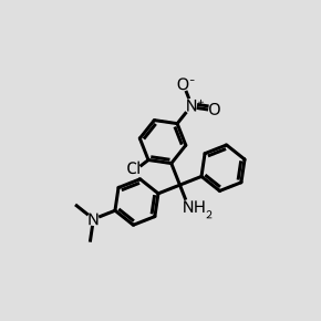 CN(C)c1ccc(C(N)(c2ccccc2)c2cc([N+](=O)[O-])ccc2Cl)cc1